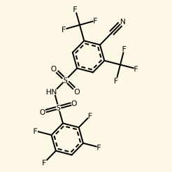 N#Cc1c(C(F)(F)F)cc(S(=O)(=O)NS(=O)(=O)c2c(F)c(F)cc(F)c2F)cc1C(F)(F)F